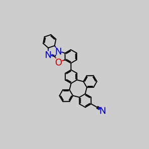 N#Cc1ccc2c(c1)-c1ccccc1-c1cc(-c3cccc4c3OC3=NC5C=CC=CC5N34)ccc1-c1ccccc1-2